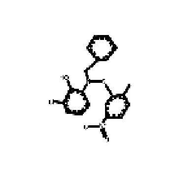 Cc1ccc([N+](=O)[O-])cc1SN(Cc1ccccc1)c1cccc(Cl)c1O